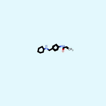 C=CC(=O)Nc1ccc(CNC2CCCCC2)cc1